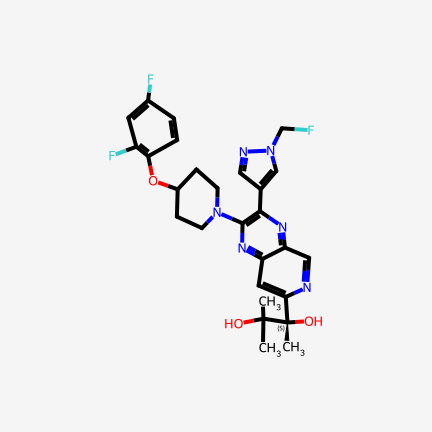 CC(C)(O)[C@@](C)(O)c1cc2nc(N3CCC(Oc4ccc(F)cc4F)CC3)c(-c3cnn(CF)c3)nc2cn1